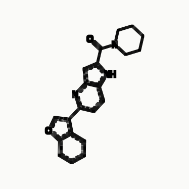 O=C(c1cc2nc(-c3coc4ccccc34)ccc2[nH]1)N1CCCCC1